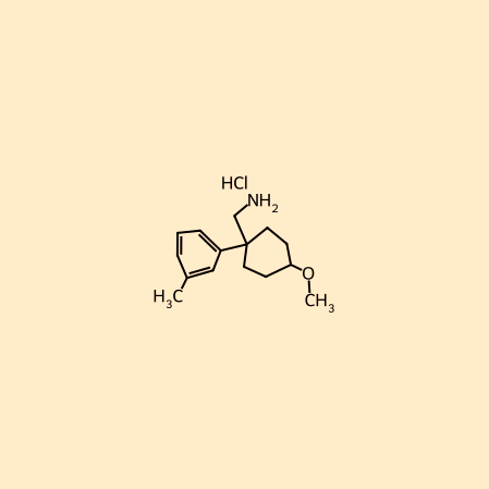 COC1CCC(CN)(c2cccc(C)c2)CC1.Cl